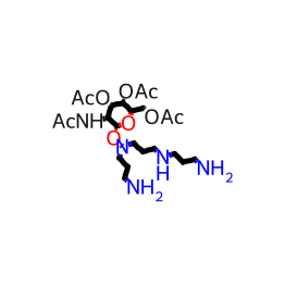 CC(=O)NC1C(OC(C)=O)[C@@H](OC(C)=O)C(COC(C)=O)O[C@H]1ON(CCCN)CCCNCCCN